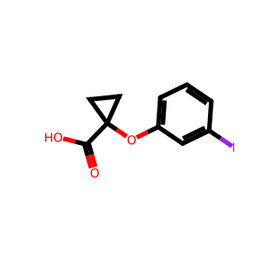 O=C(O)C1(Oc2cccc(I)c2)CC1